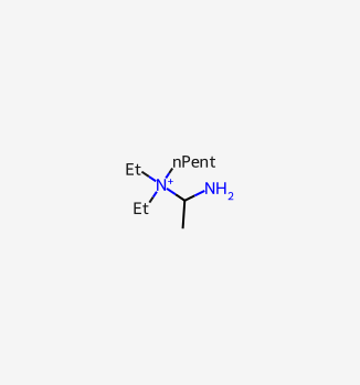 CCCCC[N+](CC)(CC)C(C)N